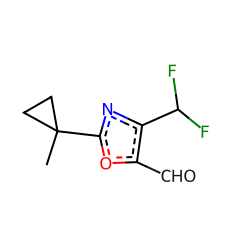 CC1(c2nc(C(F)F)c(C=O)o2)CC1